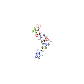 O=C(OC(CO)C(F)(F)F)N1CCC2(CC1)CN(SCCCn1ccnc1)CCO2